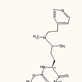 COC(=O)[C@H](CCC(O)N(C)CCc1ccncc1)NC(=O)OC(C)(C)C